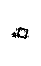 C1=Cc2cc3ccc(cc4nc(cc5ccc(cc1n2)[nH]5)C=C4)[nH]3.Cc1cnc(C)c(C)c1C